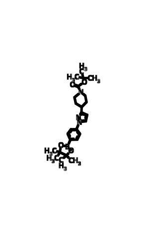 CC(C)(C)OC(=O)N1CCC(c2ccn(-c3ccc(B4OC(C)(C)C(C)(C)O4)cc3)n2)CC1